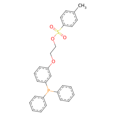 Cc1ccc(S(=O)(=O)OCCOc2cccc(P(c3ccccc3)c3ccccc3)c2)cc1